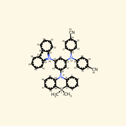 C[Si]1(C)c2ccccc2N(c2cc(N(c3ccc(C#N)cc3)c3ccc(C#N)cc3)cc(-n3c4ccccc4c4ccccc43)c2)c2ccccc21